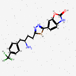 N[C@H](CCc1nnc(-c2ccc3[nH]c(=O)oc3c2)s1)Cc1ccc(C(F)(F)F)cc1